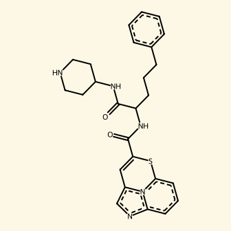 O=C(NC(CCCc1ccccc1)C(=O)NC1CCNCC1)C1=Cc2cnc3cccc(n23)S1